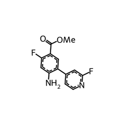 COC(=O)c1cc(-c2ccnc(F)c2)c(N)cc1F